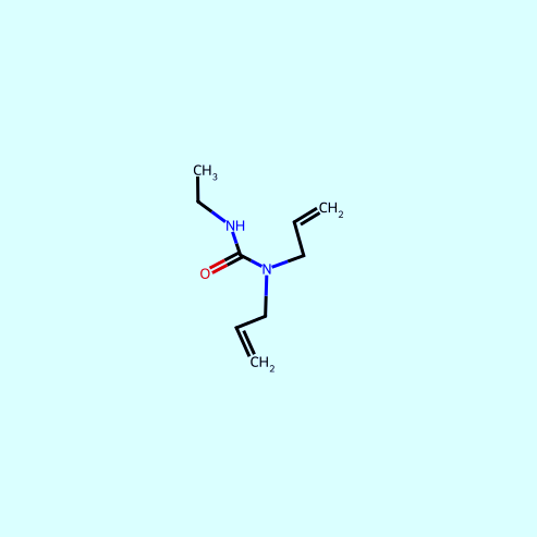 C=CCN(CC=C)C(=O)NCC